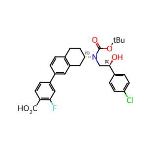 CC(C)(C)OC(=O)N(C[C@@H](O)c1ccc(Cl)cc1)[C@H]1CCc2ccc(-c3ccc(C(=O)O)c(F)c3)cc2C1